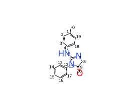 Cc1ccc(NC2=NCC(=O)N2c2ccccc2)cc1